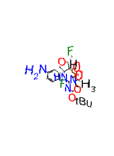 CN1/C(=N\C(=O)OC(C)(C)C)N[C@@]2(c3cc(N)ccc3F)CO[C@H](CF)[C@H]2S1(=O)=O